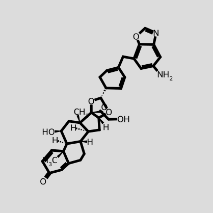 C[C@]12C=CC(=O)C=C1CC[C@@H]1[C@@H]2[C@@H](O)C[C@@]2(C)[C@H]1C[C@H]1O[C@@H](C3C=CC(Cc4cc(N)cc5ncoc45)=CC3)O[C@]12C(=O)CO